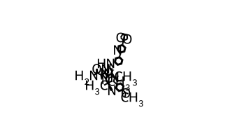 COc1ccc(CN(C)c2cc(Nc3cccc(-c4ccc(C5OCCO5)cn4)c3)n[n+]3c(C(N)=O)cn(C(C)(C)C#N)c23)cc1